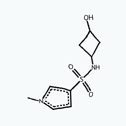 Cn1ccc(S(=O)(=O)NC2CC(O)C2)c1